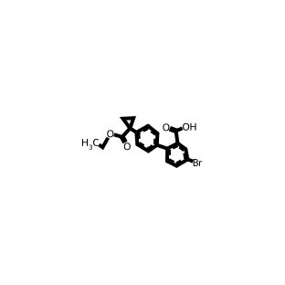 CCOC(=O)C1(c2ccc(-c3ccc(Br)cc3C(=O)O)cc2)CC1